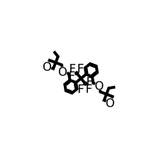 CCC1(COCc2ccccc2C(c2ccccc2COCC2(CC)COC2)(C(F)(F)F)C(F)(F)F)COC1